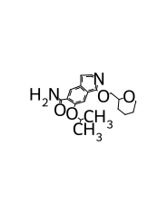 CC(C)Oc1cc2c(OCC3CCCCO3)nccc2cc1C(N)=O